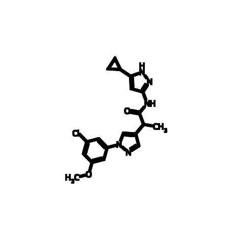 COc1cc(Cl)cc(-n2cc(C(C)C(=O)Nc3cc(C4CC4)[nH]n3)cn2)c1